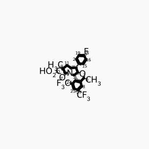 C[C@@H](O[C@H]1CN2C(=O)C(C)(C(=O)O)CC2[C@@H]1c1ccc(F)cc1)c1cc(C(F)(F)F)cc(C(F)(F)F)c1